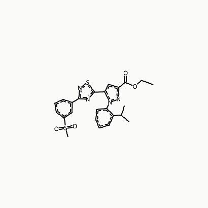 CCOC(=O)c1cc(-c2nc(-c3cccc(S(C)(=O)=O)c3)ns2)n(-c2ccccc2C(C)C)n1